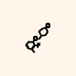 Cc1cccc(OCC2CCC(=O)CC2)c1F